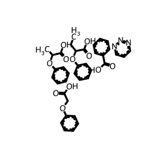 CC(Oc1ccccc1)C(=O)O.CCC(Oc1ccccc1)C(=O)O.O=C(O)COc1ccccc1.O=C(O)c1ccccc1.c1cnnnc1